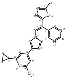 Cc1nnc(/C(=C/n2cnc(-c3cc(C4CC4)nc(C(F)(F)F)c3)n2)c2cncnc2)o1